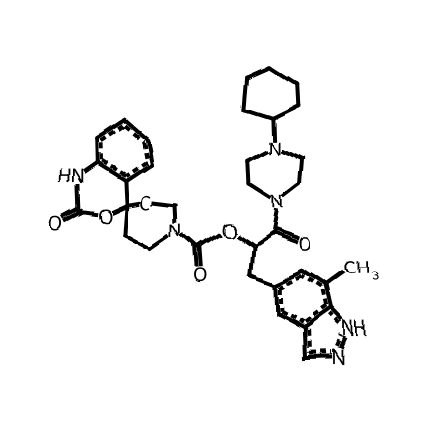 Cc1cc(CC(OC(=O)N2CCC3(CC2)OC(=O)Nc2ccccc23)C(=O)N2CCN(C3CCCCC3)CC2)cc2cn[nH]c12